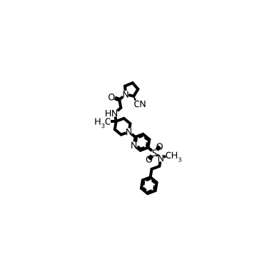 CN(CCc1ccccc1)S(=O)(=O)c1ccc(N2CCC(C)(NCC(=O)N3CCC[C@H]3C#N)CC2)nc1